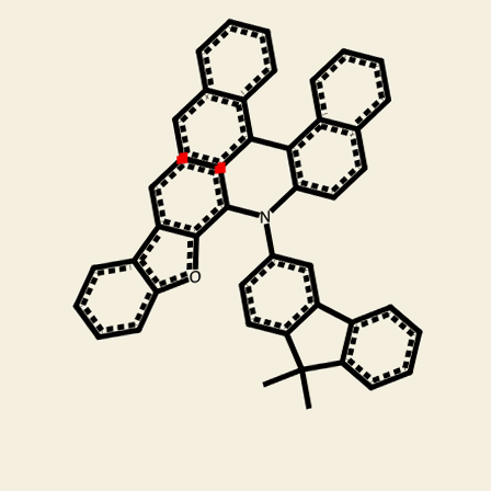 CC1(C)c2ccccc2-c2cc(N(c3ccc4ccccc4c3-c3cccc4ccccc34)c3cccc4c3oc3ccccc34)ccc21